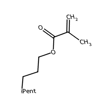 C=C(C)C(=O)OCCCC(C)CCC